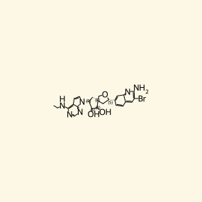 CCNc1ncnc2c1ccn2[C@@H]1C[C@@]2(CO[C@H](c3ccc4cc(Br)c(N)nc4c3)C2)[C@@H](O)[C@H]1O